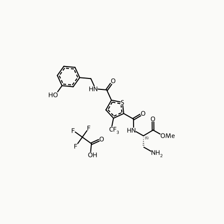 COC(=O)[C@H](CN)NC(=O)c1sc(C(=O)NCc2cccc(O)c2)cc1C(F)(F)F.O=C(O)C(F)(F)F